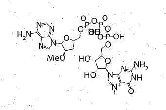 CO[C@@H]1CC(COP(=O)(O)OP(=O)(O)OP(=O)(O)OCC2O[C@@H](n3c[n+](C)c4c(=O)[nH]c(N)nc43)[C@H](O)[C@@H]2O)OC1n1cnc2c(N)ncnc21